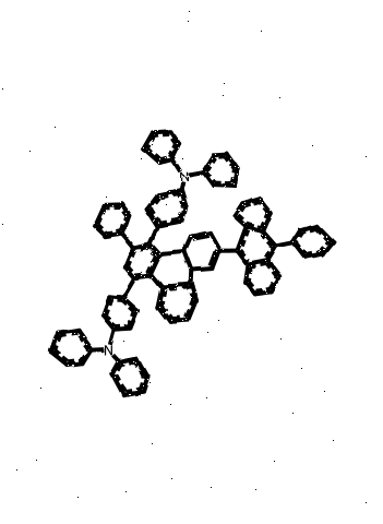 C1=CC2c3c(-c4ccc(N(c5ccccc5)c5ccccc5)cc4)c(-c4ccccc4)cc(-c4ccc(N(c5ccccc5)c5ccccc5)cc4)c3-c3ccccc3C2C=C1c1c2ccccc2c(-c2ccccc2)c2ccccc12